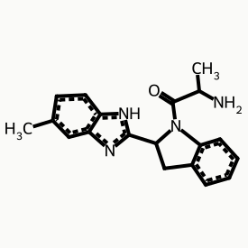 Cc1ccc2[nH]c(C3Cc4ccccc4N3C(=O)C(C)N)nc2c1